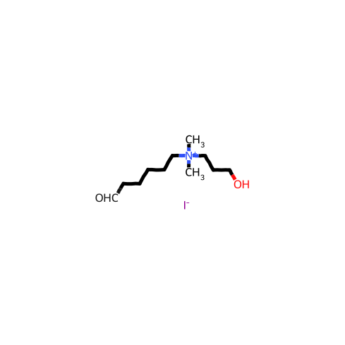 C[N+](C)(CCCO)CCCCCC=O.[I-]